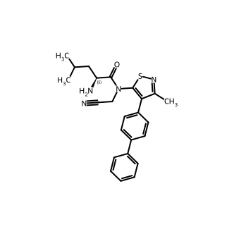 Cc1nsc(N(CC#N)C(=O)[C@@H](N)CC(C)C)c1-c1ccc(-c2ccccc2)cc1